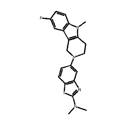 CN(C)c1nc2cc(N3CCc4c(c5cc(F)ccc5n4C)C3)ccc2s1